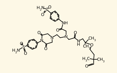 CC(C)(C=O)CCOC(C)(C)CNC(=O)CN(CCN1CC(=O)N(c2ccc(S(N)(=O)=O)cc2)C(=O)C1)CC(=O)Nc1ccc(S(N)(=O)=O)cc1